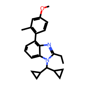 CCc1nc2c(-c3ccc(OC)cc3C)cccc2n1C(C1CC1)C1CC1